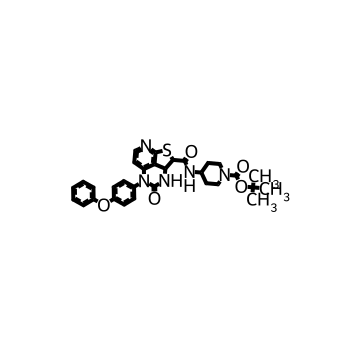 CC(C)(C)OC(=O)N1CCC(NC(=O)C2Sc3nccc4c3C2NC(=O)N4c2ccc(Oc3ccccc3)cc2)CC1